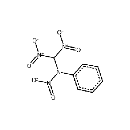 O=[N+]([O-])C(N(c1ccccc1)[N+](=O)[O-])[N+](=O)[O-]